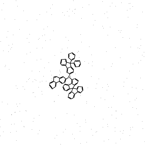 c1ccc(C2(c3ccccc3)c3ccccc3-c3cc(N(c4ccc5c(ccc6ccccc65)c4)c4cccc5c4-c4ccccc4C54c5ccccc5-c5ccccc54)ccc32)cc1